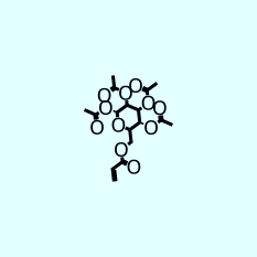 C=CC(=O)OCC1O[C@H](OC(C)=O)C(OC(C)=O)C(OC(C)=O)[C@@H]1OC(C)=O